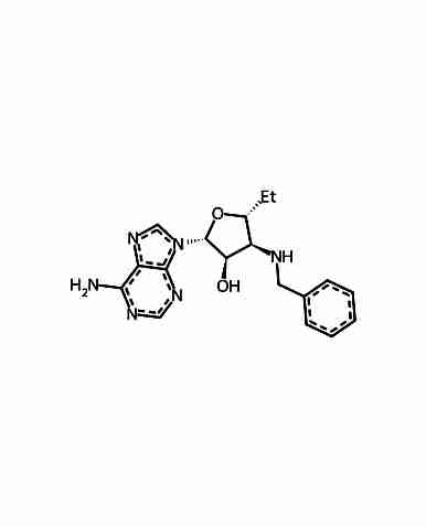 CC[C@H]1O[C@@H](n2cnc3c(N)ncnc32)[C@H](O)[C@@H]1NCc1ccccc1